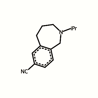 CC(C)N1CCCc2cc(C#N)ccc2C1